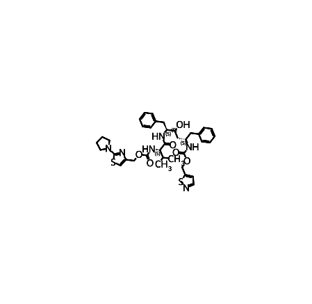 CC(C)[C@H](NC(=O)OCc1csc(N2CCCC2)n1)C(=O)N[C@@H](Cc1ccccc1)[C@@H](O)C[C@H](Cc1ccccc1)NC(=O)OCc1ccns1